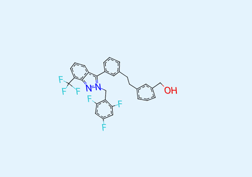 OCc1cccc(CCc2cccc(-c3c4cccc(C(F)(F)F)c4nn3Cc3c(F)cc(F)cc3F)c2)c1